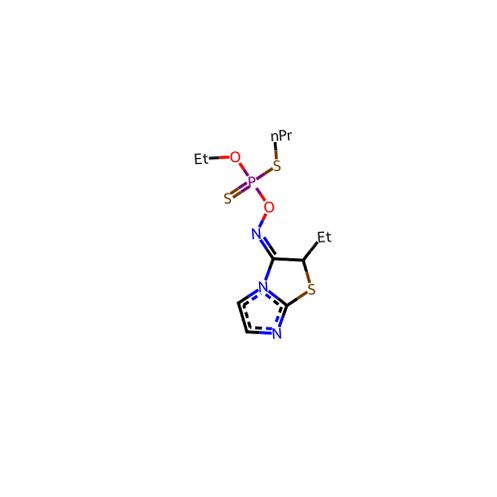 CCCSP(=S)(OCC)ON=C1C(CC)Sc2nccn21